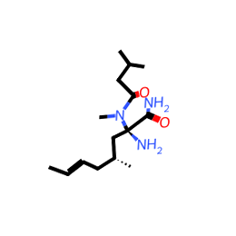 C/C=C/C[C@@H](C)C[C@@](N)(C(N)=O)N(C)C(=O)CC(C)C